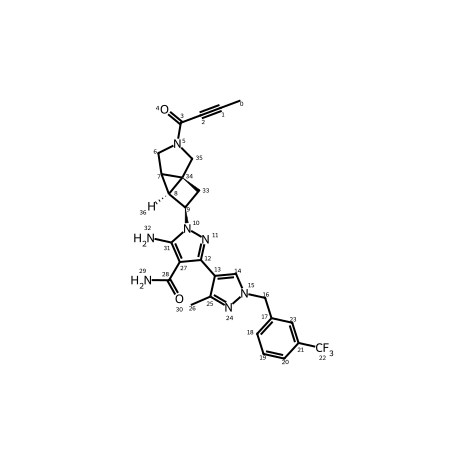 CC#CC(=O)N1CC2[C@@H]3[C@H](n4nc(-c5cn(Cc6cccc(C(F)(F)F)c6)nc5C)c(C(N)=O)c4N)C[C@]23C1